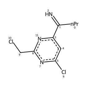 CCCC(=N)c1cc(Cl)nc(CCl)n1